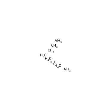 C.C.C.C.C.C.[AlH3].[AlH3]